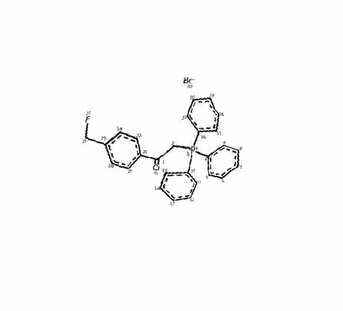 O=C(C[P+](c1ccccc1)(c1ccccc1)c1ccccc1)c1ccc(CF)cc1.[Br-]